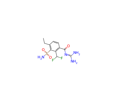 CCc1ccc(C(=O)N=C(N)N)c(C(F)F)c1S(N)(=O)=O